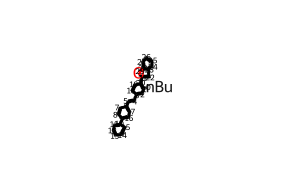 CCCCc1cc(C=Cc2ccc(-c3ccccc3)cc2)ccc1-c1cc2ccccc2o1